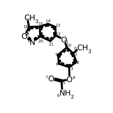 Cc1cc(OC(N)=O)ccc1Oc1ccc2c(C)onc2c1